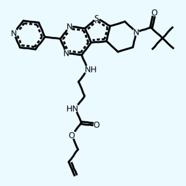 C=CCOC(=O)NCCNc1nc(-c2ccncc2)nc2sc3c(c12)CCN(C(=O)C(C)(C)C)C3